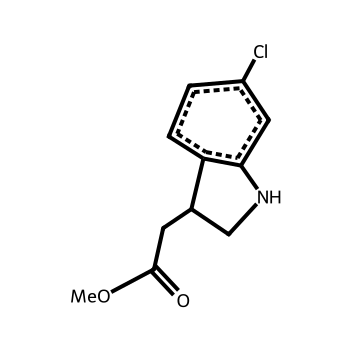 COC(=O)CC1CNc2cc(Cl)ccc21